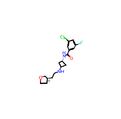 O=C(N[C@H]1C[C@H](NCC[C@H]2CCOC2)C1)c1cc(F)cc(Cl)c1